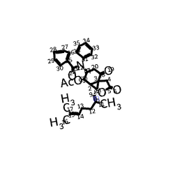 CC(=O)O[C@H]1C2C3(CC(=O)O[C@@]23/C=C(\C)CCC=C(C)C)C(=O)C[C@@H]1N(C(=O)c1ccccc1)c1ccccc1